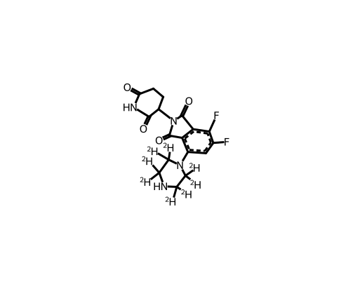 [2H]C1([2H])NC([2H])([2H])C([2H])([2H])N(c2cc(F)c(F)c3c2C(=O)N(C2CCC(=O)NC2=O)C3=O)C1([2H])[2H]